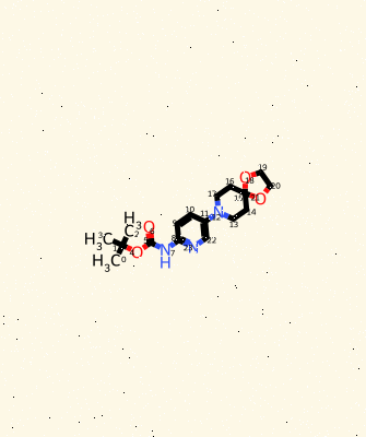 CC(C)(C)OC(=O)Nc1ccc(N2CCC3(CC2)OCCO3)cn1